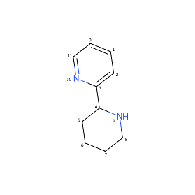 c1ccc(C2CCCCN2)nc1